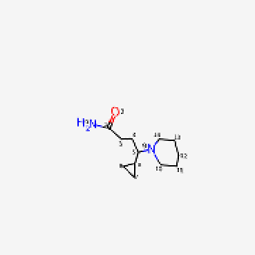 NC(=O)CCC(C1CC1)N1CCCCC1